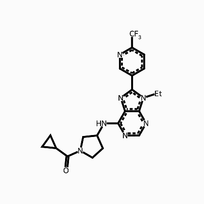 CCn1c(-c2ccc(C(F)(F)F)nc2)nc2c(NC3CCN(C(=O)C4CC4)C3)ncnc21